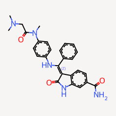 CN(C)CC(=O)N(C)c1ccc(N/C(=C2\C(=O)Nc3cc(C(N)=O)ccc32)c2ccccc2)cc1